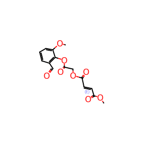 COC(=O)/C=C/C(=O)OCC(=O)Oc1c(C=O)cccc1OC